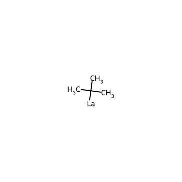 C[C](C)(C)[La]